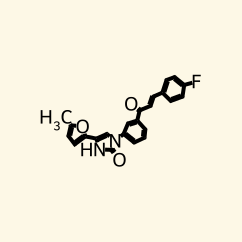 Cc1ccc(-c2cn(-c3cccc(C(=O)C=Cc4ccc(F)cc4)c3)c(=O)[nH]2)o1